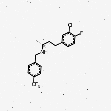 C[C@H](CCc1ccc(F)c(Cl)c1)NCc1ccc(C(F)(F)F)cc1